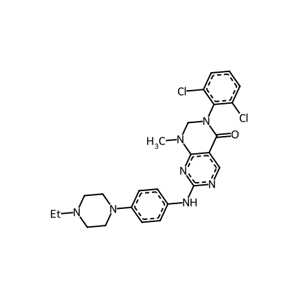 CCN1CCN(c2ccc(Nc3ncc4c(n3)N(C)CN(c3c(Cl)cccc3Cl)C4=O)cc2)CC1